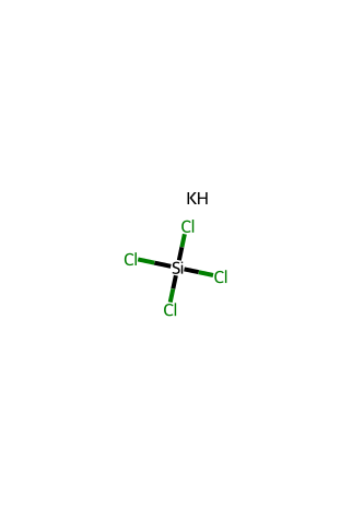 Cl[Si](Cl)(Cl)Cl.[KH]